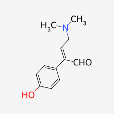 CN(C)CC=C(C=O)c1ccc(O)cc1